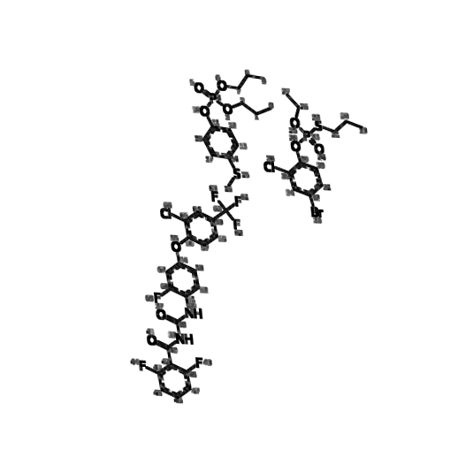 CCCOP(=O)(OCCC)Oc1ccc(SC)cc1.CCCSP(=O)(OCC)Oc1ccc(Br)cc1Cl.O=C(NC(=O)c1c(F)cccc1F)Nc1ccc(Oc2ccc(C(F)(F)F)cc2Cl)cc1F